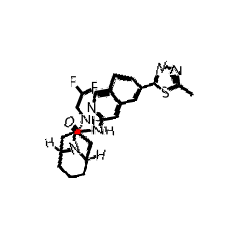 Cc1nnc(-c2ccc3cnc(NC(=O)N4[C@@H]5CCC[C@H]4C[C@@H](NCC(F)F)C5)cc3c2)s1